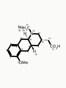 COc1cccc2c1C[C@H]1C[C@@H](CC(=O)O)CN(C)[C@@H]1C2.[Na]